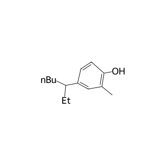 CCCCC(CC)c1ccc(O)c(C)c1